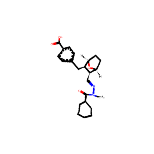 CN(N=C[C@H]1[C@@H](Cc2ccc(C(=O)O)cc2)[C@H]2CC[C@@H]1O2)C(=O)C1CCCCC1